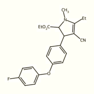 CCOC(=O)C1C(c2ccc(Oc3ccc(F)cc3)cc2)C(C#N)=C(CC)N1C